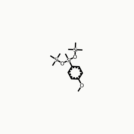 COc1ccc([Si](C)(O[Si](C)(C)C)O[Si](C)(C)C)cc1